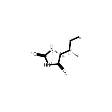 CC[C@H](C)[C@H]1NC(=O)NC1=O